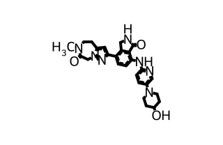 CN1CCc2cc(-c3ccc(Nc4ccc(N5CCC(O)CC5)cn4)c4c3CNC4=O)nn2CC1=O